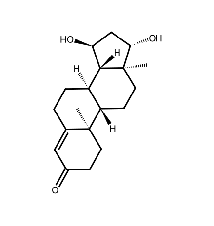 C[C@]12CC[C@H]3[C@@H](CCC4=CC(=O)CC[C@@]43C)[C@@H]1[C@@H](O)C[C@@H]2O